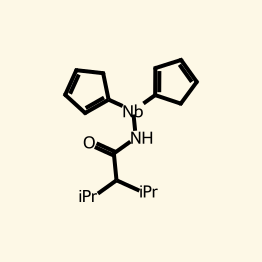 CC(C)C(C(=O)[NH][Nb]([C]1=CC=CC1)[C]1=CC=CC1)C(C)C